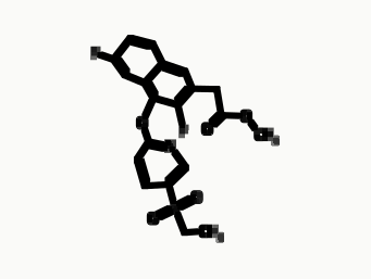 CCS(=O)(=O)c1ccc(Oc2c(F)c(CC(=O)OC)cc3ccc(F)cc23)nc1